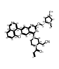 C=CC(=O)N1CCN(c2nc(OC[C@@H]3C[C@@H](F)CN3C)nc3cc(-c4cncc5cccc(Cl)c45)ccc23)CC1CC#N